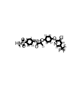 CNS(=O)(=O)c1ccc(NC(=O)C(C)Oc2ccc(Oc3ncc(C(F)(F)F)cc3Cl)cc2)cc1